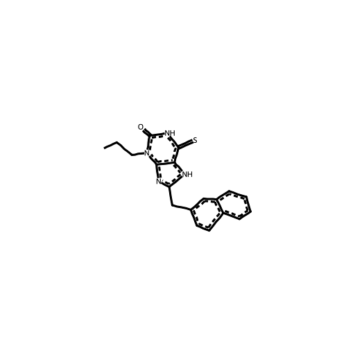 CCCn1c(=O)[nH]c(=S)c2[nH]c(Cc3ccc4ccccc4c3)nc21